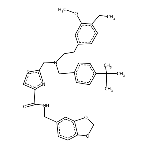 CCc1ccc(CCN(Cc2ccc(C(C)(C)C)cc2)Cc2nc(C(=O)NCc3ccc4c(c3)OCO4)cs2)cc1OC